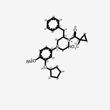 COc1ccc(N2CCN(C(=O)C3(C(=O)O)CC3)C(Cc3ccccc3)C2)cc1OC1CCCC1